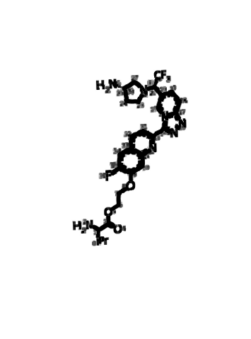 CC(C)C(N)C(=O)OCCOc1cc2nc(-c3nnc4ccc([C@@H](N5CC[C@H](N)C5)C(F)(F)F)cn34)ccc2cc1F